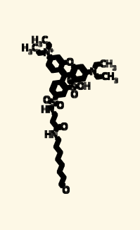 CCN(CC)c1ccc2c(-c3ccc(S(=O)(=O)NCCC(=O)NCCCCCCCC=O)cc3S(=O)(=O)O)c3ccc(=[N+](CC)CC)cc-3oc2c1